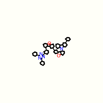 c1ccc(-c2ccc3c(c2)c2ccccc2n3-c2cccc3oc4ccc(-c5ccc6oc7cccc(-c8cccc(-c9nc(-c%10ccccc%10)nc(-c%10ccccc%10)n9)c8)c7c6c5)cc4c23)cc1